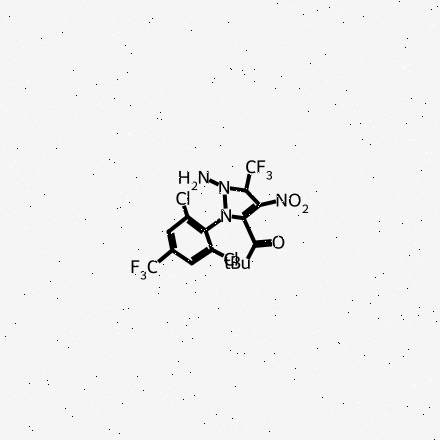 CC(C)(C)C(=O)C1=C([N+](=O)[O-])C(C(F)(F)F)N(N)N1c1c(Cl)cc(C(F)(F)F)cc1Cl